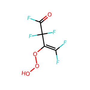 O=C(F)C(F)(F)C(OOO)=C(F)F